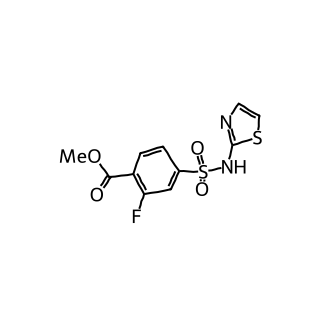 COC(=O)c1ccc(S(=O)(=O)Nc2nccs2)cc1F